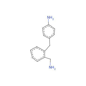 NCc1c[c]ccc1Cc1ccc(N)cc1